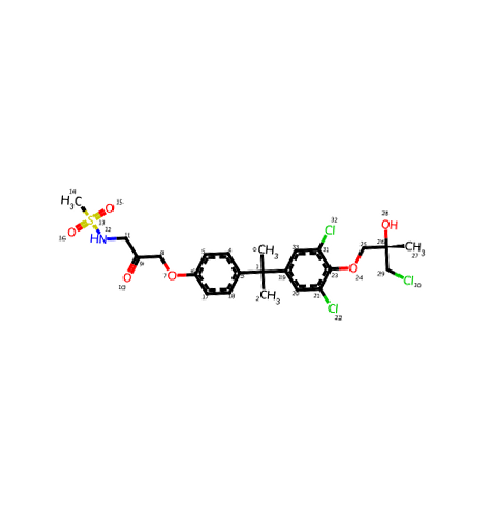 CC(C)(c1ccc(OCC(=O)CNS(C)(=O)=O)cc1)c1cc(Cl)c(OC[C@](C)(O)CCl)c(Cl)c1